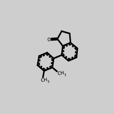 Cc1cccc(-c2cccc3c2C(=O)CC3)c1C